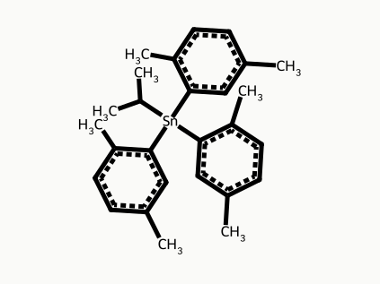 Cc1ccc(C)[c]([Sn]([c]2cc(C)ccc2C)([c]2cc(C)ccc2C)[CH](C)C)c1